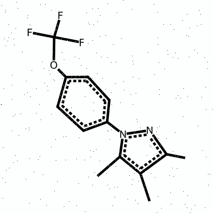 Cc1nn(-c2ccc(OC(F)(F)F)cc2)c(C)c1C